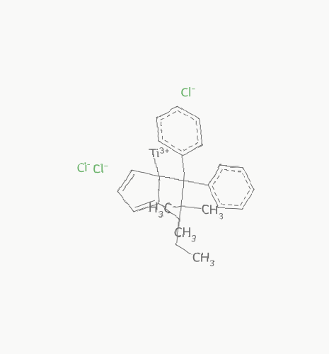 CCCC1=CC=C[C]1([Ti+3])C(c1ccccc1)(c1ccccc1)C(C)(C)C.[Cl-].[Cl-].[Cl-]